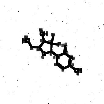 C=C1N=C(O)C=CN1C1OC(CO)C(O)C1(C)F